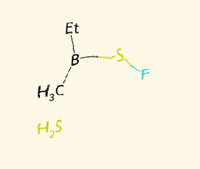 CCB(C)SF.S